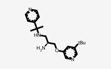 CC(C)(C)c1cncc(OC[C@@H](N)CNC(C)(C)c2ccncc2)c1